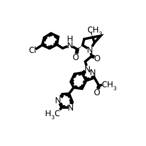 CC(=O)c1nn(CC(=O)N2C3C[C@]3(C)C[C@H]2C(=O)NCc2cccc(Cl)c2)c2ccc(-c3cnc(C)nc3)cc12